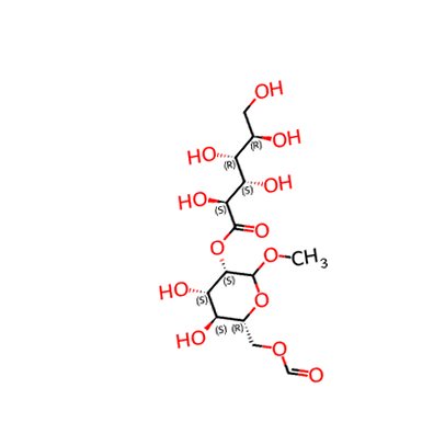 COC1O[C@H](COC=O)[C@@H](O)[C@H](O)[C@@H]1OC(=O)[C@@H](O)[C@@H](O)[C@H](O)[C@H](O)CO